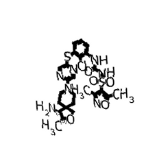 Cc1noc(C)c1S(=O)(=O)NC(=O)Nc1cccc(Sc2cnc(N3CCC4(CC3)CO[C@@H](C)[C@H]4N)cn2)c1Cl